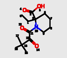 CCC1(C(=O)O)CCCCN1C(=O)C(=O)C(C)(C)C